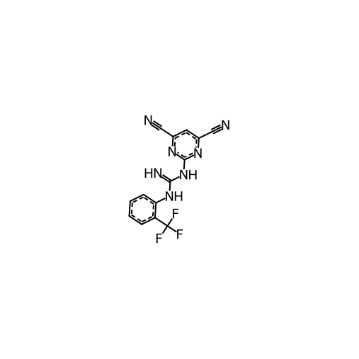 N#Cc1cc(C#N)nc(NC(=N)Nc2ccccc2C(F)(F)F)n1